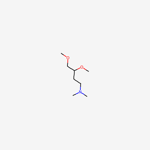 COCC(CCN(C)C)OC